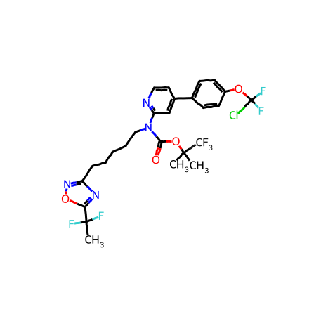 CC(F)(F)c1nc(CCCCCN(C(=O)OC(C)(C)C(F)(F)F)c2cc(-c3ccc(OC(F)(F)Cl)cc3)ccn2)no1